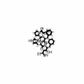 CC[C@@H](C[C@H](O)[C@H](CC1CCCCC1)NC(=O)[C@H](Cc1c[nH]cn1)NC(=O)[C@H](Cc1ccccc1)NC(=O)[C@H]1CCCN1C(=O)CC(C)C)C(C)C